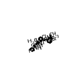 Cc1nc2c(OCc3c(Cl)ccc(N(C)C(=O)CNC(=O)Nc4ccncc4)c3Cl)cccn2c1Br